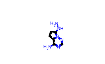 NNc1ccc2c(N)ncnn12